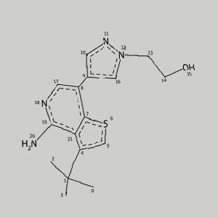 CC(C)(C)c1csc2c(-c3cnn(CCO)c3)cnc(N)c12